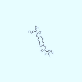 C=C(C)C(=O)Sc1ccc2cc(SC(=O)C(=C)C)ccc2c1